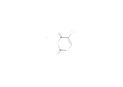 Cl.Nc1c[nH]c(=O)[nH]c1=O